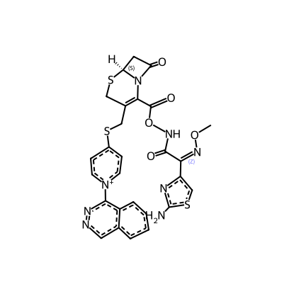 CO/N=C(\C(=O)NOC(=O)C1=C(CSc2cc[n+](-c3nncc4ccccc34)cc2)CS[C@H]2CC(=O)N12)c1csc(N)n1